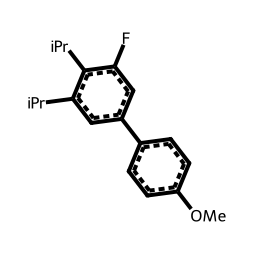 COc1ccc(-c2cc(F)c(C(C)C)c(C(C)C)c2)cc1